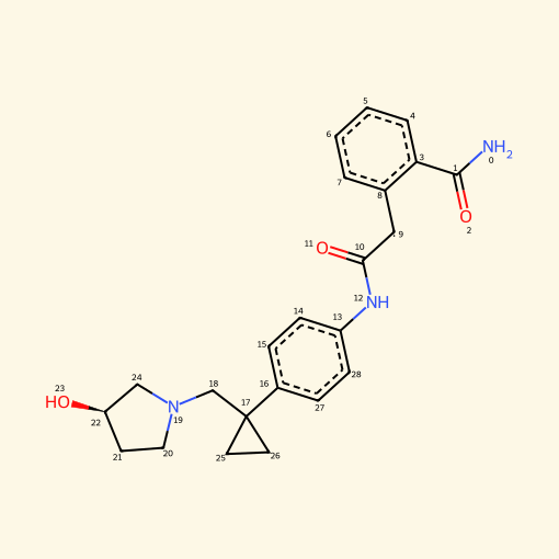 NC(=O)c1ccccc1[CH]C(=O)Nc1ccc(C2(CN3CC[C@@H](O)C3)CC2)cc1